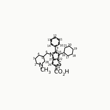 CN1CCCC(Cn2c(-c3ccccc3)c(C3CCCCC3)c3sc(C(=O)O)cc32)C1